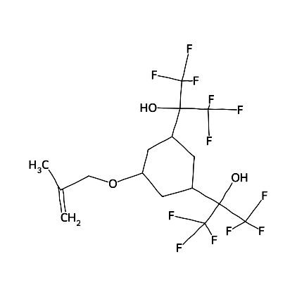 C=C(C)COC1CC(C(O)(C(F)(F)F)C(F)(F)F)CC(C(O)(C(F)(F)F)C(F)(F)F)C1